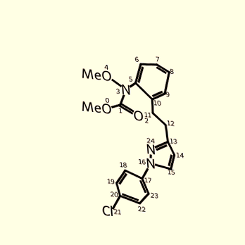 COC(=O)N(OC)c1ccccc1CCc1ccn(-c2ccc(Cl)cc2)n1